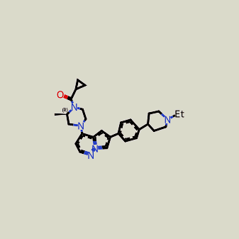 CCN1CCC(c2ccc(-c3cc4c(N5CCN(C(=O)C6CC6)[C@H](C)C5)ccnn4c3)cc2)CC1